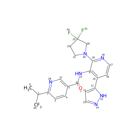 CC(c1ccc(C(=O)Nc2c(-c3ccn[nH]3)ccnc2N2CCC(F)(F)C2)cn1)C(F)(F)F